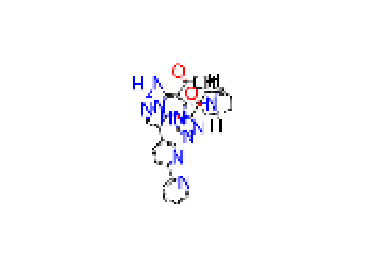 CC(=O)c1c([C@@H]2C[C@H]3CC[C@@H](C2)N3C(=O)c2nnc[nH]2)nc2c(-c3ccc(-c4ccccn4)nc3)cnn2c1N